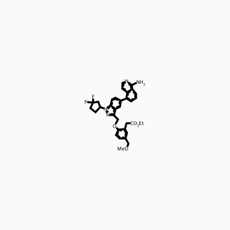 CCOC(=O)Cc1cc(COC)ccc1OCc1nn(C2CCC(F)(F)C2)c2ccc(-c3cccc4c(N)nccc34)cc12